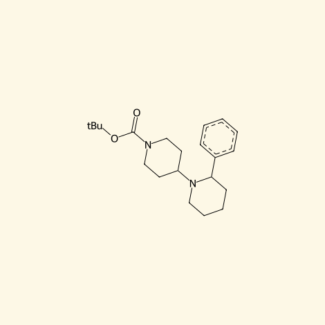 CC(C)(C)OC(=O)N1CCC(N2CCCCC2c2ccccc2)CC1